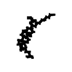 CCCCOCCOCC(OC(=O)O)C1CC[C@@]2(C)C(=CCC3C2CC[C@@]2(C)C3CC[C@@H]2[C@H](C)CCCC(C)C)C1